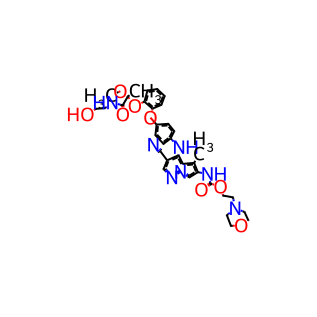 COC(C)(Oc1ccccc1Oc1ccc(Nc2c(C#N)cnn3cc(NC(=O)OCCN4CCOCC4)c(C)c23)cc1)C(=O)NCCO